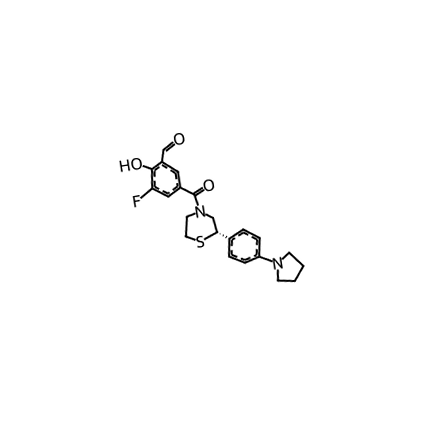 O=Cc1cc(C(=O)N2CCS[C@@H](c3ccc(N4CCCC4)cc3)C2)cc(F)c1O